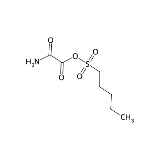 CCCCCS(=O)(=O)OC(=O)C(N)=O